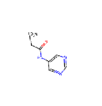 O=C(O)CC(=O)Nc1cncnc1